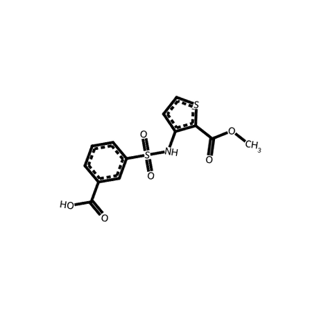 COC(=O)c1sccc1NS(=O)(=O)c1cccc(C(=O)O)c1